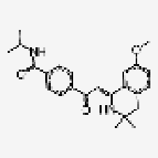 COc1ccc2c(c1)/C(=C/C(=O)c1ccc(C(=O)NC(C)C)cc1)NC(C)(C)C2